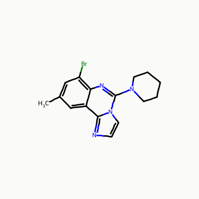 Cc1cc(Br)c2nc(N3CCCCC3)n3ccnc3c2c1